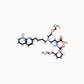 CCOCCN(CCCCc1ccc2c(n1)NCCC2)CCC(NC(=O)N1CCCC1COC)C(=O)O